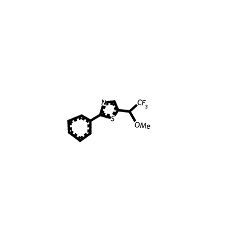 COC(c1cnc(-c2ccccc2)s1)C(F)(F)F